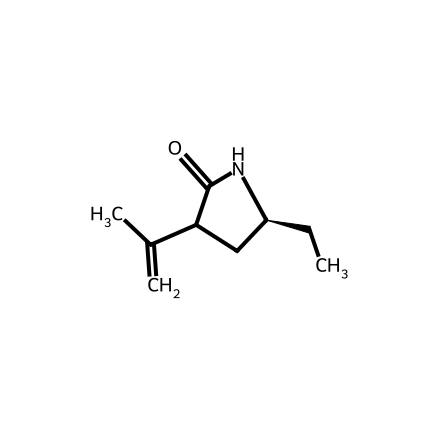 C=C(C)C1C[C@H](CC)NC1=O